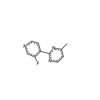 Cc1ccnc(-c2ccncc2F)n1